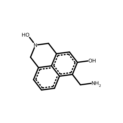 NCc1c(O)cc2c3c(cccc13)CN(O)C2